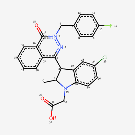 CC1C(c2nn(Cc3ccc(F)cc3)c(=O)c3ccccc23)c2cc(Cl)ccc2N1CC(=O)O